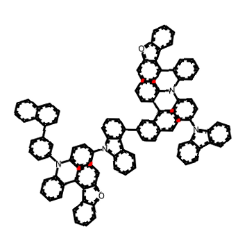 c1cc(-c2cccc3ccccc23)cc(N(c2ccc(-n3c4ccccc4c4c(-c5ccc6cccc(-c7ccccc7N(c7ccc(-n8c9ccccc9c9ccccc98)cc7)c7ccccc7-c7cccc8oc9ccccc9c78)c6c5)cccc43)cc2)c2ccccc2-c2cccc3oc4ccccc4c23)c1